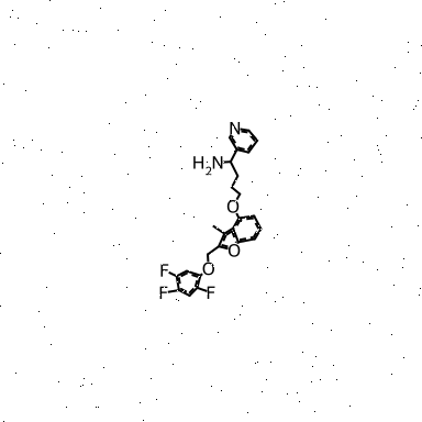 Cc1c(COc2cc(F)c(F)cc2F)oc2cccc(OCCCC(N)c3cccnc3)c12